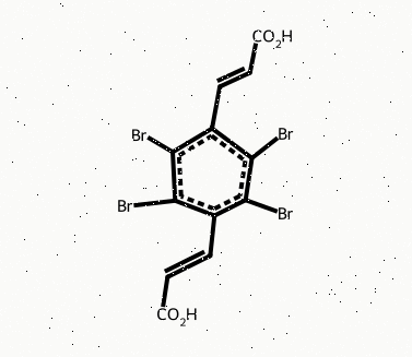 O=C(O)/C=C/c1c(Br)c(Br)c(/C=C/C(=O)O)c(Br)c1Br